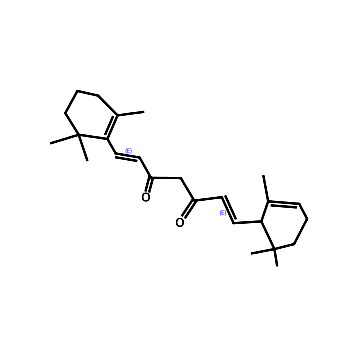 CC1=CCCC(C)(C)C1/C=C/C(=O)CC(=O)/C=C/C1=C(C)CCCC1(C)C